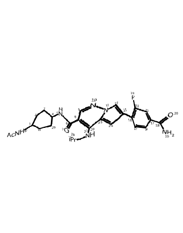 CC(=O)NC1CCC(NC(=O)c2cnn3cc(-c4ccc(C(N)=O)cc4F)cc3c2NC(C)C)CC1